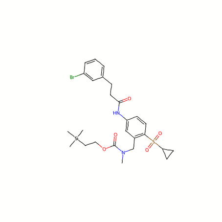 CN(Cc1cc(NC(=O)CCc2cccc(Br)c2)ccc1S(=O)(=O)C1CC1)C(=O)OCC[Si](C)(C)C